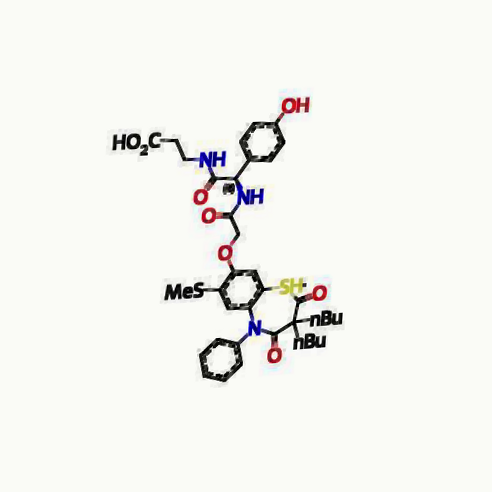 CCCCC1(CCCC)C(=O)[SH]c2cc(OCC(=O)N[C@@H](C(=O)NCCC(=O)O)c3ccc(O)cc3)c(SC)cc2N(c2ccccc2)C1=O